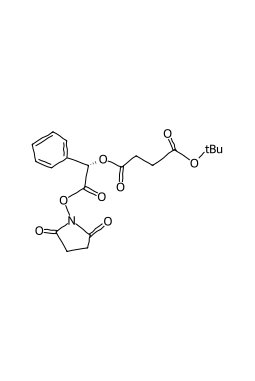 CC(C)(C)OC(=O)CCC(=O)O[C@H](C(=O)ON1C(=O)CCC1=O)c1ccccc1